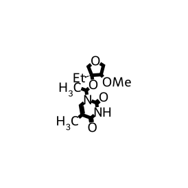 CC[C@]1(OC(C)n2cc(C)c(=O)[nH]c2=O)COCC1OC